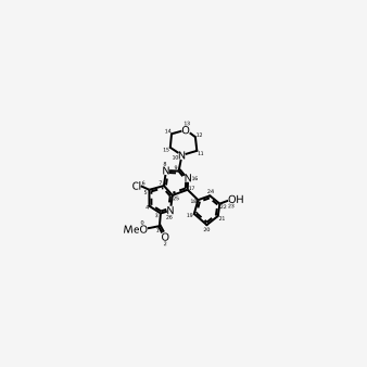 COC(=O)c1cc(Cl)c2nc(N3CCOCC3)nc(-c3cccc(O)c3)c2n1